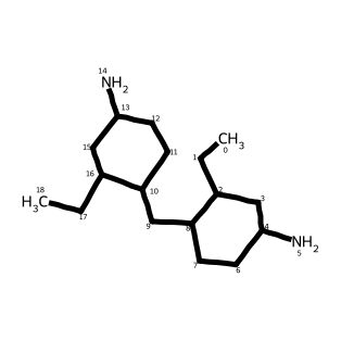 CCC1CC(N)CCC1CC1CCC(N)CC1CC